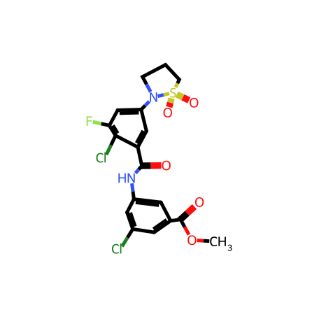 COC(=O)c1cc(Cl)cc(NC(=O)c2cc(N3CCCS3(=O)=O)cc(F)c2Cl)c1